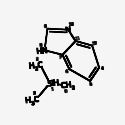 C[SiH](C)C.c1ccc2[nH]cnc2c1